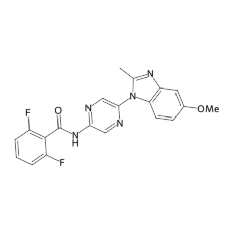 COc1ccc2c(c1)nc(C)n2-c1cnc(NC(=O)c2c(F)cccc2F)cn1